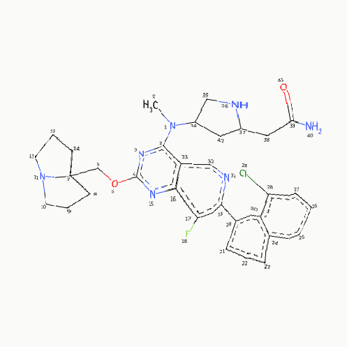 CN(c1nc(OCC23CCCN2CCC3)nc2c(F)c(-c3cccc4cccc(Cl)c34)ncc12)C1CNC(CC(N)=O)C1